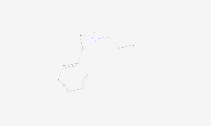 CCCCN1CC1c1ccccc1